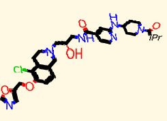 CC(C)C(=O)N1CCC(Nc2cc(C(=O)NC[C@H](O)CN3CCc4c(ccc(OCc5cnco5)c4Cl)C3)ccn2)CC1